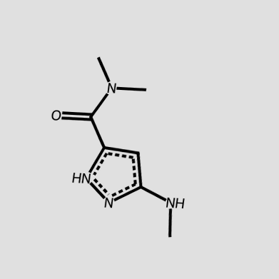 CNc1cc(C(=O)N(C)C)[nH]n1